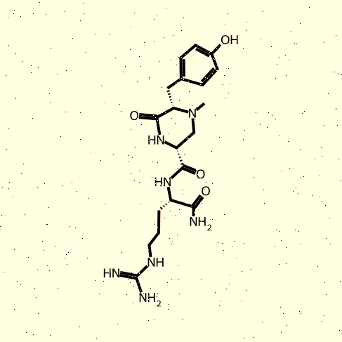 CN1C[C@H](C(=O)N[C@@H](CCCNC(=N)N)C(N)=O)NC(=O)[C@@H]1Cc1ccc(O)cc1